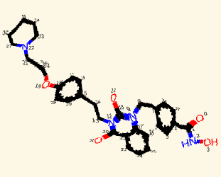 O=C(NO)c1ccc(Cn2c(=O)n(CCc3ccc(OCCN4CCCCC4)cc3)c(=O)c3ccccc32)cc1